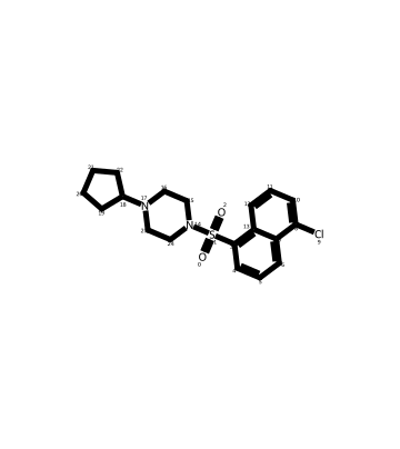 O=S(=O)(c1cccc2c(Cl)cccc12)N1CCN(C2CCCC2)CC1